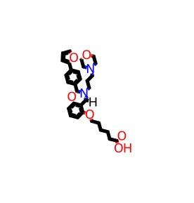 [2H]C(c1ccccc1OCCCCCC(=O)O)N(CCCN1CCOCC1)C(=O)c1ccc(-c2ccco2)cc1